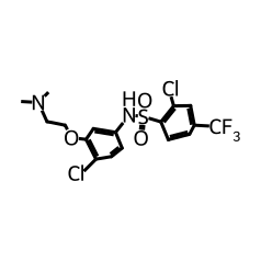 CN(C)CCOc1cc(NS(=O)(=O)c2ccc(C(F)(F)F)cc2Cl)ccc1Cl